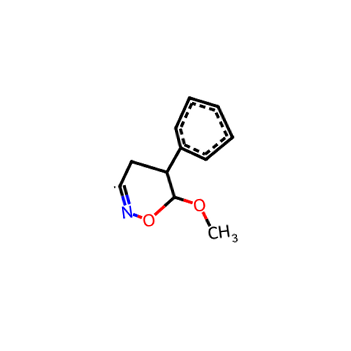 COC1ON=[C]CC1c1ccccc1